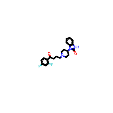 O=C(CCCN1CCC(n2c(=O)[nH]c3ccccc32)CC1)c1ccc(F)cc1[18F]